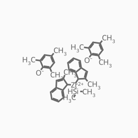 CC1=Cc2ccccc2[CH]1[Zr+2]([CH]1C(C)=Cc2ccccc21)[SiH](C)C.Cc1cc(C)c([O-])c(C)c1.Cc1cc(C)c([O-])c(C)c1